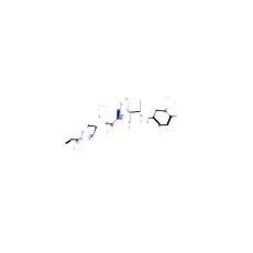 C=CC(=O)N1CC(NC(=O)C2=CN(C)C(CNC3=C(O)C=C(Cl)C(CC)C3)N2C)C1